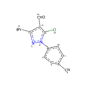 CC(C)c1nn(-c2ccc(C#N)cc2)c(Cl)c1C=O